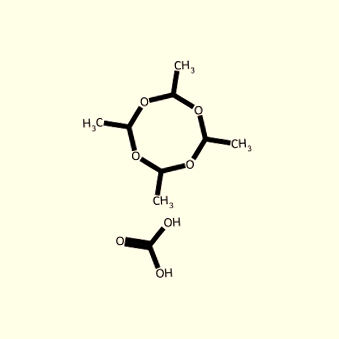 CC1OC(C)OC(C)OC(C)O1.O=C(O)O